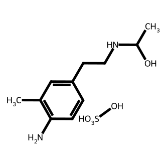 Cc1cc(CCNC(C)O)ccc1N.O=S(=O)(O)O